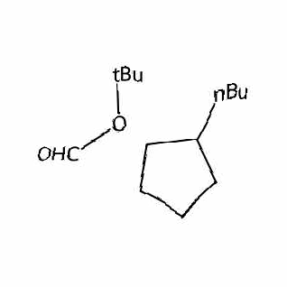 CC(C)(C)OC=O.CCCCC1CCCC1